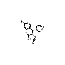 [N-]=[N+]=N[C@H](C(=O)O)[C@@H](c1ccncc1)c1ccc(F)cc1